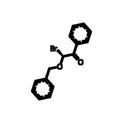 O=C(c1ccccc1)[C@H](Br)OCc1ccccc1